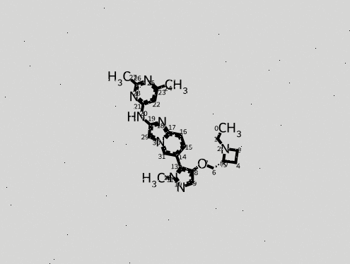 CCN1CC[C@@H]1COc1cnn(C)c1-c1ccc2nc(Nc3cc(C)nc(C)n3)cn2c1